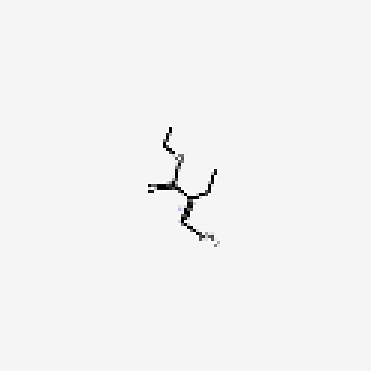 CCOC(=O)/C(=C/N)CC